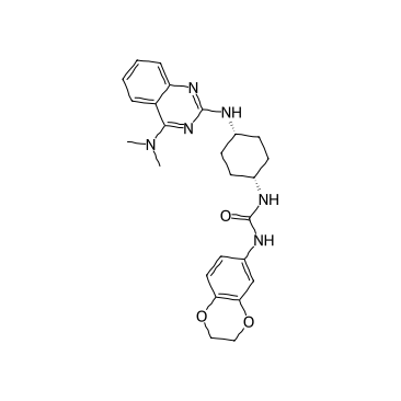 CN(C)c1nc(N[C@H]2CC[C@@H](NC(=O)Nc3ccc4c(c3)OCCO4)CC2)nc2ccccc12